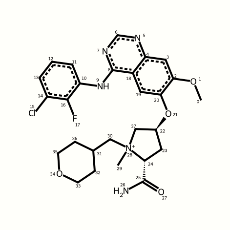 COc1cc2ncnc(Nc3cccc(Cl)c3F)c2cc1O[C@H]1C[C@H](C(N)=O)[N+](C)(CC2CCOCC2)C1